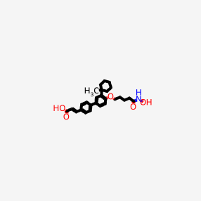 CC1(c2cc(-c3ccc(C=CC(=O)O)cc3)ccc2OCCCCC(=O)NO)CCCCC1